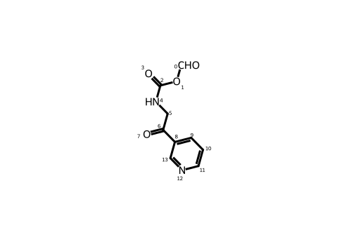 O=COC(=O)NCC(=O)c1cccnc1